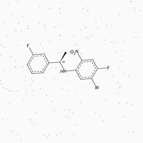 C[C@@H](Nc1cc(Br)c(F)cc1[N+](=O)[O-])c1cccc(F)c1